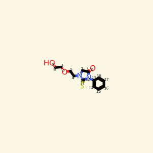 O=C1CN(CCOCCO)C(=S)N1c1ccccc1